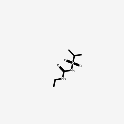 CCNC(=O)NS(=O)(=O)C(C)C